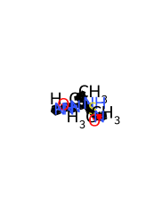 Cc1cc(C)cc(-c2[nH]c3sc(C(C)(C)C(=O)N4C5CCC4CC5)cc3c2CCN2CCN(CC(=O)N3CCCCC3)CC2)c1